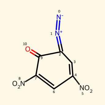 [N-]=[N+]=C1C=C([N+](=O)[O-])C=C([N+](=O)[O-])C1=O